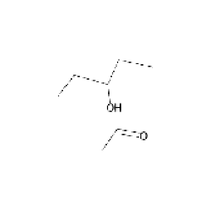 CC=O.CCC(O)CC